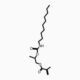 C=C(C)C(=O)OCC(C)OC(=O)NCCCCCCCCCC